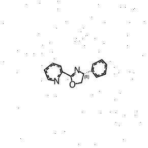 c1ccc([C@@H]2COC(c3ccccn3)=N2)cc1